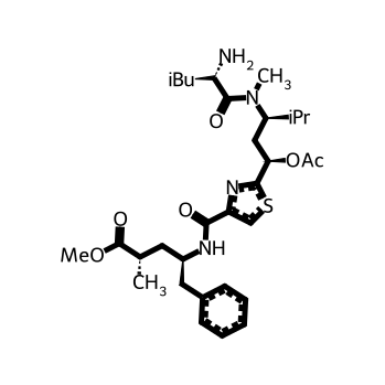 CC[C@H](C)[C@H](N)C(=O)N(C)[C@H](C[C@@H](OC(C)=O)c1nc(C(=O)N[C@@H](Cc2ccccc2)C[C@H](C)C(=O)OC)cs1)C(C)C